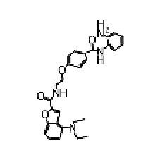 CCN(CC)c1cccc2oc(C(=O)NCCOc3ccc(C(=O)Nc4ccccc4N)cc3)cc12